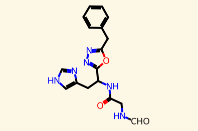 O=CNCC(=O)NC(Cc1c[nH]cn1)c1nnc(Cc2ccccc2)o1